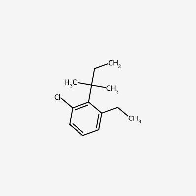 CCc1cccc(Cl)c1C(C)(C)CC